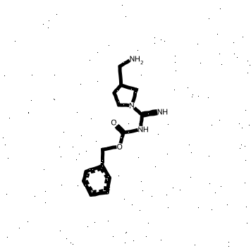 N=C(NC(=O)OCc1ccccc1)N1CCC(CN)C1